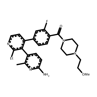 CCc1nccc(-c2ccc(C(=O)N3CCN(CCOC)CC3)c(F)c2)c1-c1ccc(N)nc1C